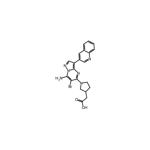 Nc1c(Br)c(N2CCC(CC(=O)O)C2)nc2c(-c3cnc4ccccc4c3)cnn12